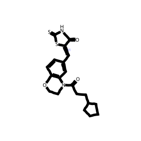 O=C1NC(=S)S/C1=C\c1ccc2c(c1)N(C(=O)CCC1CCCC1)CCO2